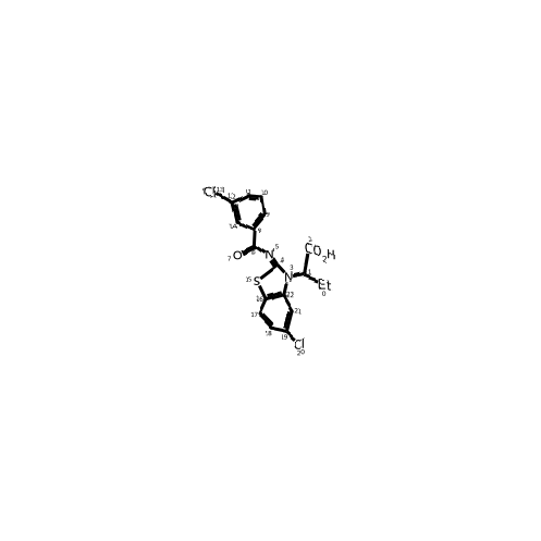 CCC(C(=O)O)n1/c(=N/C(=O)c2cccc(Cl)c2)sc2ccc(Cl)cc21